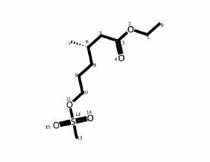 CCOC(=O)C[C@@H](C)CCCOS(C)(=O)=O